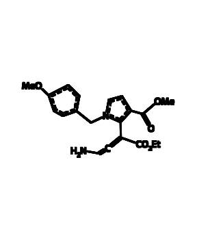 CCOC(=O)C(=C=CN)c1c(C(=O)OC)ccn1Cc1ccc(OC)cc1